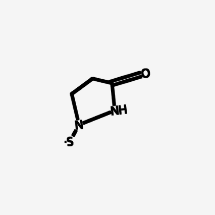 O=C1CCN([S])N1